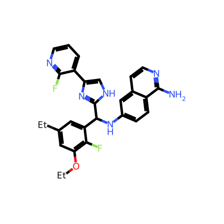 CCOc1cc(CC)cc(C(Nc2ccc3c(N)nccc3c2)c2nc(-c3cccnc3F)c[nH]2)c1F